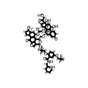 COC[C@H]1OC(=O)c2coc3c2[C@@]1(C)C1=C(C3=O)C2CCC(=O)[C@@]2(C)C[C@H]1OC(C)=O.C[C@@H]1C[C@H]2[C@@H]3CCC4=CC(=O)C=C[C@]4(C)[C@@]3(F)[C@@H](O)C[C@]2(C)[C@@]1(O)C(=O)CO.O=C(NCC1CCCCN1)c1cc(OCC(F)(F)F)ccc1OCC(F)(F)F